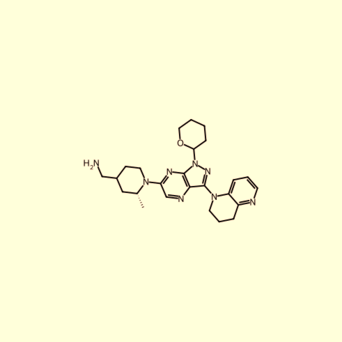 C[C@@H]1CC(CN)CCN1c1cnc2c(N3CCCc4ncccc43)nn(C3CCCCO3)c2n1